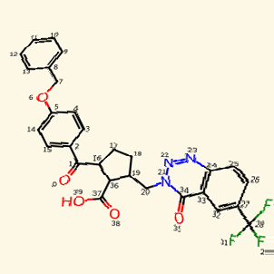 O=C(c1ccc(OCc2ccccc2)cc1)C1CCC(Cn2nnc3ccc(C(F)(F)F)cc3c2=O)C1C(=O)O